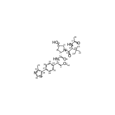 COC[C@H](NC(=O)[C@@H]1C[C@@H](O)CN1C(=O)[C@@H](NC(C)=O)C(C)(C)C)c1ccc(-c2scnc2C)cc1